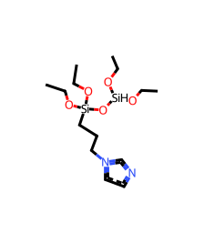 CCO[SiH](OCC)O[Si](CCCn1ccnc1)(OCC)OCC